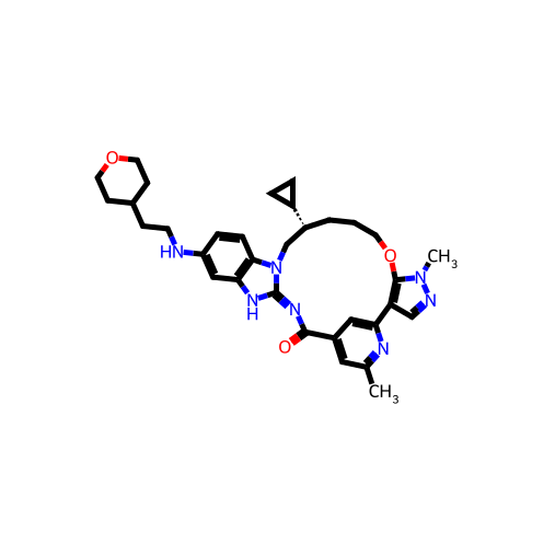 Cc1cc2cc(n1)-c1cnn(C)c1OCCC[C@@H](C1CC1)CN1/C(=N/C2=O)Nc2cc(NCCC3CCOCC3)ccc21